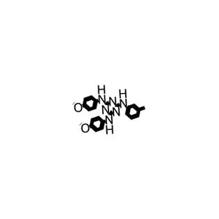 COc1ccc(Nc2nc(Nc3ccc(OC)cc3)nc(Nc3cccc(C)c3)n2)cc1